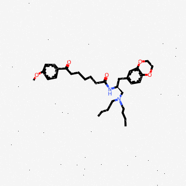 CCCCN(CCCC)C[C@H](Cc1ccc2c(c1)OCCO2)NC(=O)CCCCCC(=O)c1ccc(OC)cc1